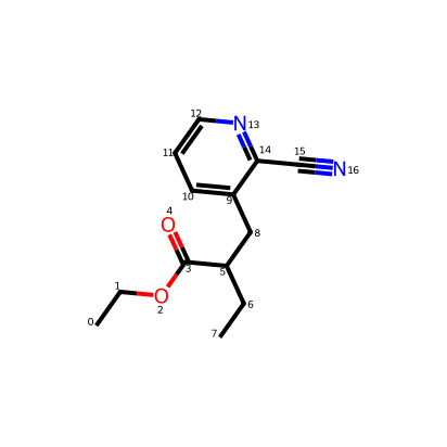 CCOC(=O)C(CC)Cc1cccnc1C#N